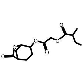 CCC(C)C(=O)OCC(=O)OC1CCC2CC1OC2=O